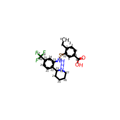 CCc1ccc(C(=O)O)cc1SNc1cc(C(F)(F)F)ccc1C1CCCCN1